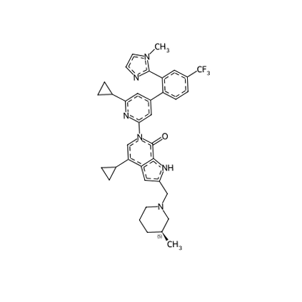 C[C@H]1CCCN(Cc2cc3c(C4CC4)cn(-c4cc(-c5ccc(C(F)(F)F)cc5-c5nccn5C)cc(C5CC5)n4)c(=O)c3[nH]2)C1